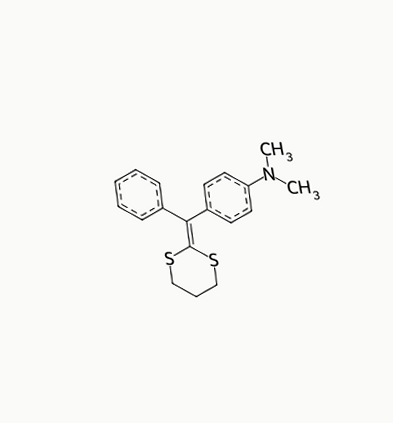 CN(C)c1ccc(C(=C2SCCCS2)c2ccccc2)cc1